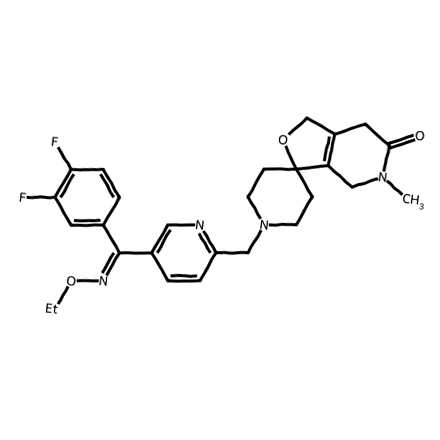 CCON=C(c1ccc(CN2CCC3(CC2)OCC2=C3CN(C)C(=O)C2)nc1)c1ccc(F)c(F)c1